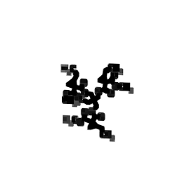 C=CC1CC1(C(=O)OC)C(=O)OCC(CC)(COC(=O)C1(C(=O)OC)CC1C=C)COC(=O)C1(C(=O)OC)CC1C=C